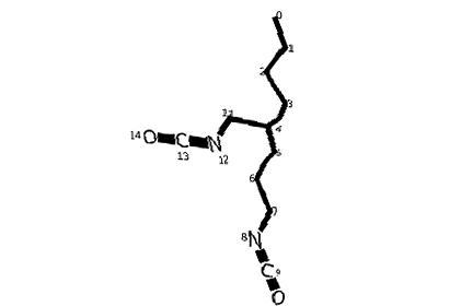 CCCCC(CCCN=C=O)CN=C=O